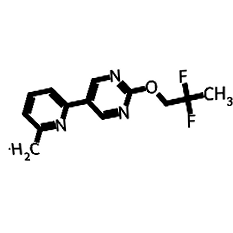 [CH2]c1cccc(-c2cnc(OCC(C)(F)F)nc2)n1